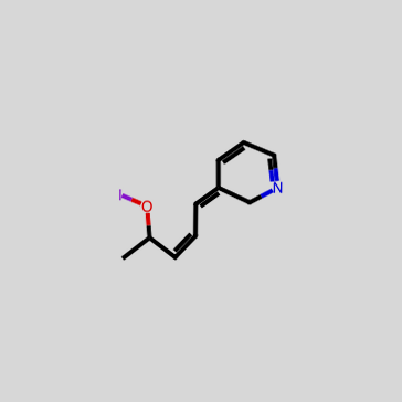 CC(/C=C\C=C1\C=CC=NC1)OI